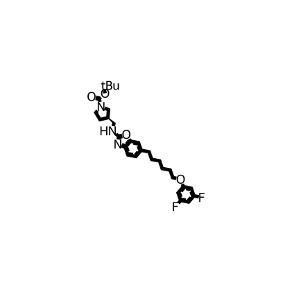 CC(C)(C)OC(=O)N1CC[C@H](CNc2nc3ccc(CCCCCCOc4cc(F)cc(F)c4)cc3o2)C1